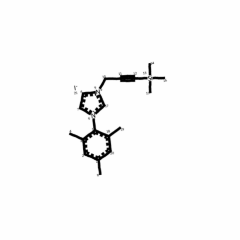 Cc1cc(C)c(-n2cc[n+](CC#C[Si](C)(C)C)c2)c(C)c1.[I-]